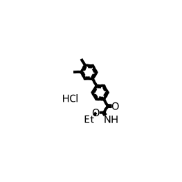 CCOC(=N)C(=O)c1ccc(-c2ccc(C)c(C)c2)cc1.Cl